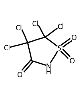 O=C1NS(=O)(=O)C(Cl)(Cl)C1(Cl)Cl